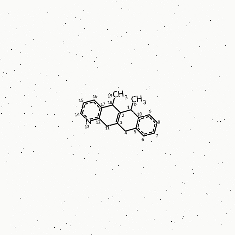 CC1C2=C(Cc3ccccc31)Cc1ncccc1C2C